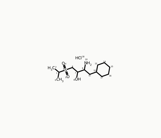 CC(C)S(=O)(=O)CC(O)C(N)CC1CCCCC1.Cl